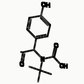 CC(C)(C)N(C(=O)O)C([C]=O)c1ccc(O)cc1